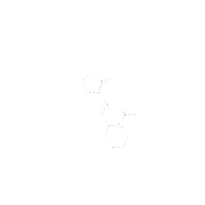 CCC(=O)N1CCCCC1CNC1CCOC1=O